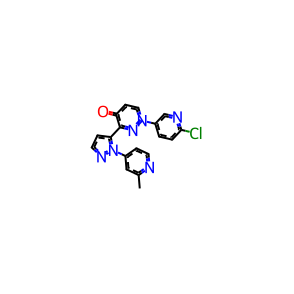 Cc1cc(-n2nccc2-c2nn(-c3ccc(Cl)nc3)ccc2=O)ccn1